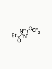 CCC(=O)c1ncc(OC(F)(F)F)cn1